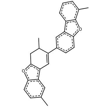 Cc1ccc2oc3c(c2c1)C=C(c1ccc2oc4c(C)cccc4c2c1)C(C)C3